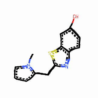 Cn1cccc1Cc1nc2ccc(O)cc2s1